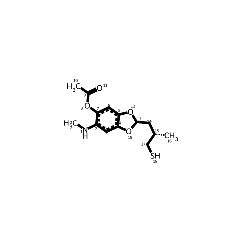 CNc1cc2c(cc1OC(C)=O)OC(C[C@H](C)CS)O2